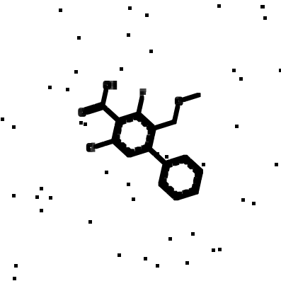 COCc1c(-c2ccccc2)cc(Cl)c(C(=O)O)c1F